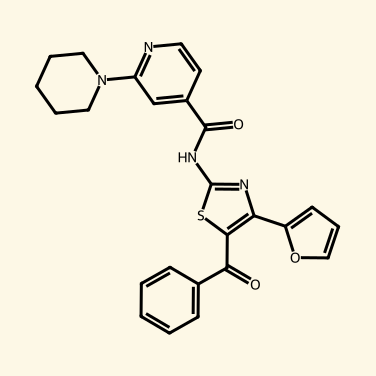 O=C(Nc1nc(-c2ccco2)c(C(=O)c2ccccc2)s1)c1ccnc(N2CCCCC2)c1